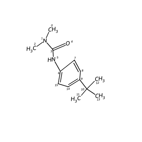 CN(C)C(=O)Nc1ccc(C(C)(C)C)cc1